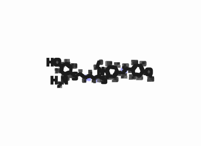 CCN1/C(=C\C=C\CSc2ccc(O)cc2N)Sc2cc(/C=C/c3ccc(OC)cc3)ccc21